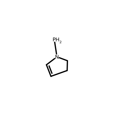 PN1C=CCC1